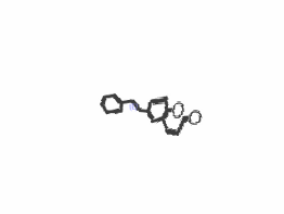 O=c1ccc2cc(/C=C/c3ccccc3)ccc2o1